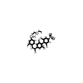 CCOCC.Cc1cc(O)ccc1CC(C)c1cc(C)c(-c2c(C)cc([N+](=O)[O-])cc2C)c(C)c1